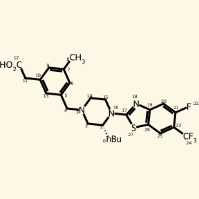 CCCC[C@@H]1CN(Cc2cc(C)cc(CC(=O)O)c2)CCN1c1nc2cc(F)c(C(F)(F)F)cc2s1